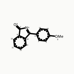 COc1ccc(C2=NC(=O)c3ccccc32)cc1